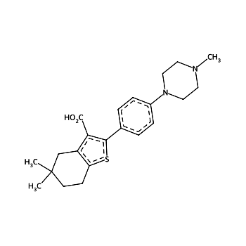 CN1CCN(c2ccc(-c3sc4c(c3C(=O)O)CC(C)(C)CC4)cc2)CC1